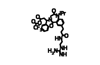 CC(C)N1C(=O)CN(C(CC(=O)OC(=O)C(F)(F)F)c2ccccc2)C(=O)c2cc(CCC(=O)NCCNC(=N)N)ccc21